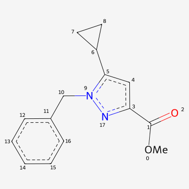 COC(=O)c1cc(C2CC2)n(Cc2ccccc2)n1